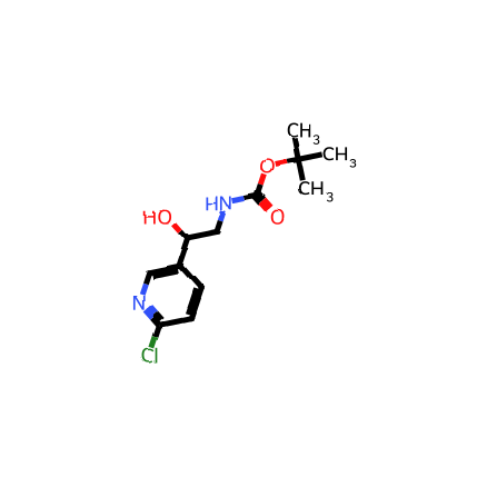 CC(C)(C)OC(=O)NCC(O)c1ccc(Cl)nc1